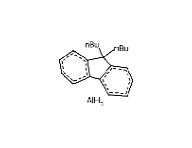 CCCCC1(CCCC)c2ccccc2-c2ccccc21.[AlH3]